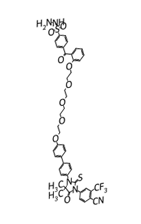 CC1(C)C(=O)N(c2ccc(C#N)c(C(F)(F)F)c2)C(=S)N1c1ccc(-c2ccc(OCCOCCOCCOCCOc3ccccc3C(=O)c3ccc(S(=O)(=O)NN)cc3)cc2)cc1